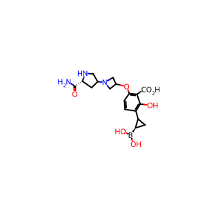 NC(=O)[C@H]1CC(N2CC(Oc3ccc(C4C[C@H]4B(O)O)c(O)c3C(=O)O)C2)CN1